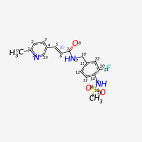 Cc1ccc(/C=C/C(=O)NCc2ccc(NS(C)(=O)=O)c(F)c2)cn1